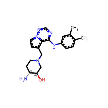 Cc1ccc(Nc2ncnn3ccc(CN4CC[C@@H](N)[C@H](O)C4)c23)cc1C